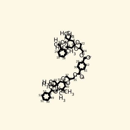 CCC1(CC)CC2(CC(C)(C)N1OC(C)c1ccccc1)OCC(COC(=O)c1ccc(C(=O)OCC3COC4(CC(C)(C)N(OC(C)c5ccccc5)C(CC)(CC)C4)O3)cc1)O2